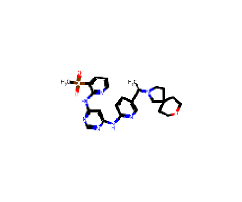 C[C@H](c1ccc(Nc2cc(Nc3ncccc3S(C)(=O)=O)ncn2)nc1)N1CCC2(CCOCC2)C1